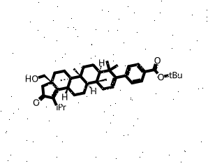 CC(C)C1=C2[C@H]3CC[C@@H]4[C@@]5(C)CC=C(c6ccc(C(=O)OC(C)(C)C)cc6)C(C)(C)[C@@H]5CC[C@@]4(C)[C@]3(C)CC[C@@]2(CO)CC1=O